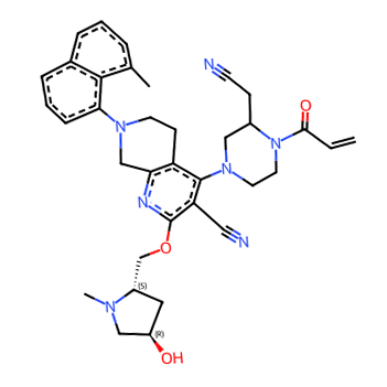 C=CC(=O)N1CCN(c2c(C#N)c(OC[C@@H]3C[C@@H](O)CN3C)nc3c2CCN(c2cccc4cccc(C)c24)C3)CC1CC#N